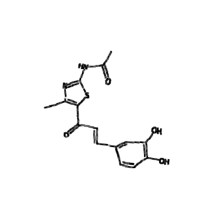 CC(=O)Nc1nc(C)c(C(=O)C=Cc2ccc(O)c(O)c2)s1